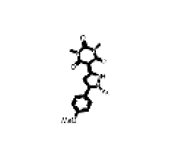 COc1ccc(C2CC(=C3C(=O)N(C)C(=O)N(C)C3=O)NN2C(C)=O)cc1